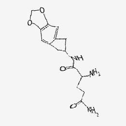 NC(=O)CCC(N)C(=O)NC1Cc2cc3c(cc2C1)OCO3